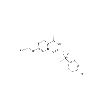 CC(NC(=O)[C@@H]1C[C@@]1(C)c1ccc(C(F)(F)F)cc1)c1ccc(OCC(F)(F)F)cn1